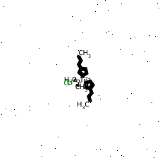 CCCCC1=CC[C]([Ti+2]([C]2=CC(CCCC)=CC2)=[Si](C)C)=C1.[Cl-].[Cl-]